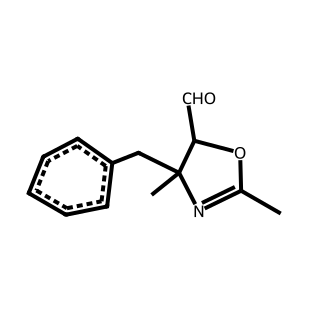 CC1=NC(C)(Cc2ccccc2)C(C=O)O1